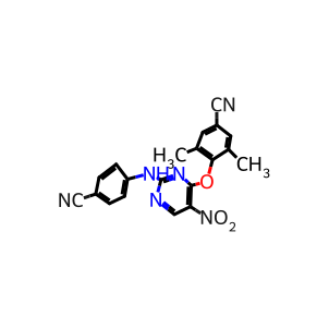 Cc1cc(C#N)cc(C)c1Oc1nc(Nc2ccc(C#N)cc2)ncc1[N+](=O)[O-]